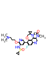 CN(C)CCCOc1ncc(-c2c(F)cc3ncc(N(C)C=O)c4c3c2OCC2(CC2)N4C)cc1N[S+]([O-])C1CC1